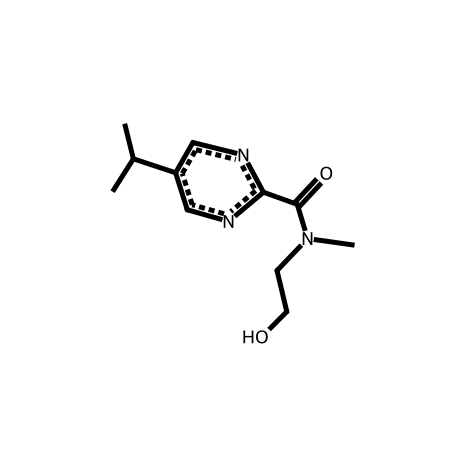 CC(C)c1cnc(C(=O)N(C)CCO)nc1